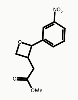 COC(=O)CC1COC1c1cccc([N+](=O)[O-])c1